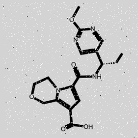 CC[C@H](NC(=O)c1cc(C(=O)O)c2n1CCOC2)c1cnc(OC)nc1